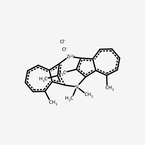 Cc1ccccc2[c]3c(C)c(c1-2)[Si](C)(C)c1c(C)[c](c2ccccc(C)c1-2)[Zr+2]3.[Cl-].[Cl-]